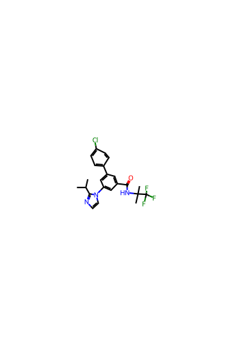 CC(C)c1nccn1-c1cc(C(=O)NC(C)(C)C(F)(F)F)cc(-c2ccc(Cl)cc2)c1